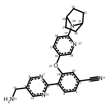 N#Cc1ccc(-c2ncc(CN)cn2)c(Oc2ccc(N3C4CCC3CC4)nc2)c1